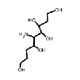 NC(C(O)CCCO)C(O)C(O)CCO